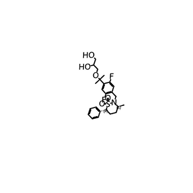 C[C@H]1CC[C@H](c2ccccc2)S(=O)(=O)N1Cc1cc(F)c(C(C)(C)OCC(O)CO)cc1F